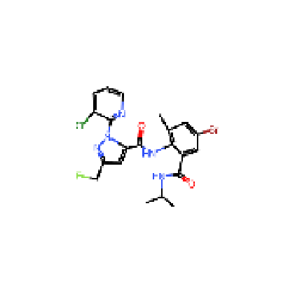 Cc1cc(Br)cc(C(=O)NC(C)C)c1NC(=O)c1cc(CF)nn1-c1ncccc1Cl